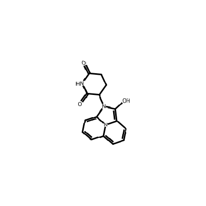 O=C1CCC(N2C3=CC=CC4=CC=CC(=C2O)N43)C(=O)N1